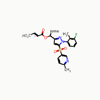 CNC(OC(=O)/C=C/C(=O)O)c1cc(S(=O)(=O)c2ccc(C)nc2)n(-c2cccc(F)c2C)n1